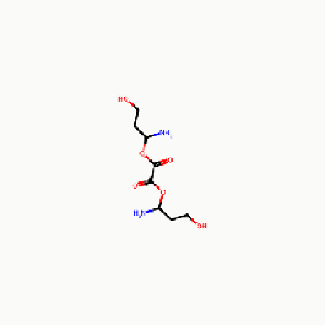 NC(CCO)OC(=O)C(=O)OC(N)CCO